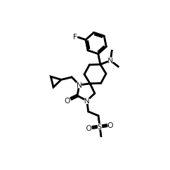 CN(C)C1(c2cccc(F)c2)CCC2(CC1)CN(CCS(C)(=O)=O)C(=O)N2CC1CC1